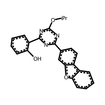 CC(C)Oc1nc(-c2ccc3c(c2)oc2ccccc23)nc(-c2ccccc2O)n1